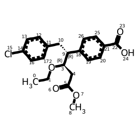 CCO[C@H](CC(=O)OC)[C@H](Cc1ccc(Cl)cc1)c1ccc(C(=O)O)cc1